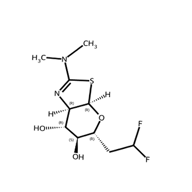 CN(C)C1=N[C@@H]2[C@@H](O)[C@H](O)[C@@H](CC(F)F)O[C@@H]2S1